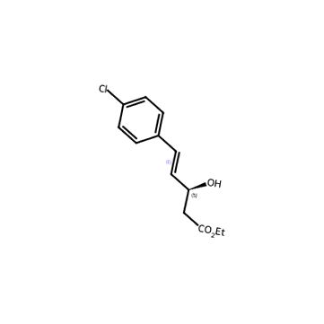 CCOC(=O)C[C@H](O)/C=C/c1ccc(Cl)cc1